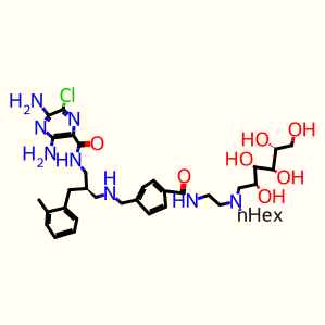 CCCCCCN(CCNC(=O)c1ccc(CNC[C@H](CNC(=O)c2nc(Cl)c(N)nc2N)Cc2ccccc2C)cc1)C[C@H](O)[C@@H](O)[C@H](O)[C@H](O)CO